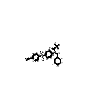 CC(C)(C)c1nc2cc(S(=O)(=O)c3ccc(C#N)nc3)ccc2n1CC1CCCCC1